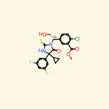 COC(=O)c1cc([C@@H](CO)N2C(=O)C(c3cc(F)cc(F)c3)(C3CC3)NC2=S)ccc1Cl